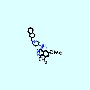 COc1ccc2c(C)nnc(NC3CCN(Cc4ccc5ccccc5c4)CC3)c2c1